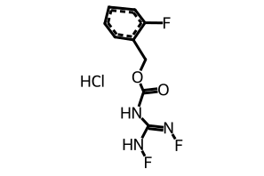 Cl.O=C(NC(=NF)NF)OCc1ccccc1F